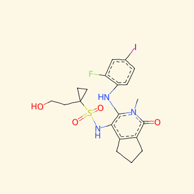 Cn1c(Nc2ccc(I)cc2F)c(NS(=O)(=O)C2(CCO)CC2)c2c(c1=O)CCC2